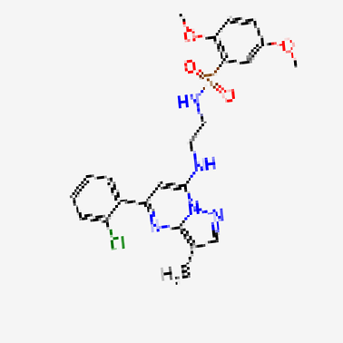 Bc1cnn2c(NCCNS(=O)(=O)c3cc(OC)ccc3OC)cc(-c3ccccc3Cl)nc12